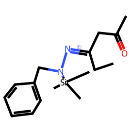 CC/C(CC(C)=O)=N\N(Cc1ccccc1)[Si](C)(C)C